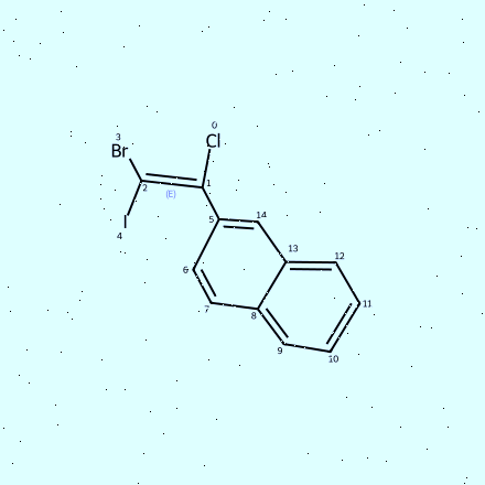 Cl/C(=C(\Br)I)c1ccc2ccccc2c1